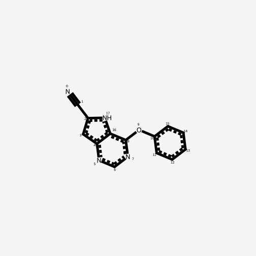 N#Cc1cc2ncnc(Oc3ccccc3)c2[nH]1